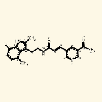 Cc1[nH]c2c(F)ccc(C)c2c1CCNC(=O)C=Cc1cncc(C(N)=O)c1